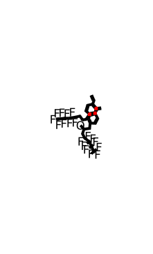 C=Cc1ccc(CC(CC(F)(F)C(F)(F)C(F)(F)C(F)(F)F)OC(Cc2ccc(C=C)cc2)CC(F)(F)C(F)(F)C(F)(F)C(F)(F)F)cc1